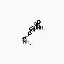 Nc1nc(CCc2ccc(C(=O)OC(=O)C[C@@H](N)NS(=O)(=O)c3ccccc3)cc2)cs1